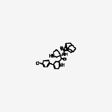 O=C(N[C@@]1(C(=O)C2CC(c3ccc(Cl)cc3)=CCN2)CCCNC1)C12CC3CC(C1)C(O)C(C3)C2